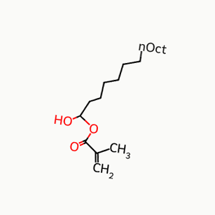 C=C(C)C(=O)OC(O)CCCCCCCCCCCCCC